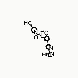 C#CC1CCN(C(=O)N2CCOc3ccc(-c4ccc(-c5ncc[nH]5)nc4)cc3C2)CC1